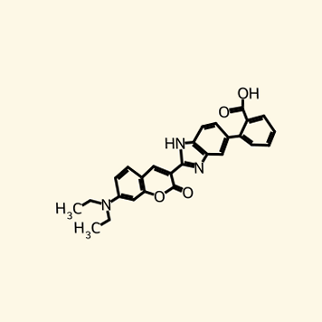 CCN(CC)c1ccc2cc(-c3nc4cc(-c5ccccc5C(=O)O)ccc4[nH]3)c(=O)oc2c1